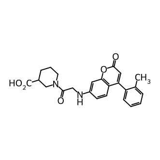 Cc1ccccc1-c1cc(=O)oc2cc(NCC(=O)N3CCCC(C(=O)O)C3)ccc12